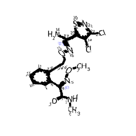 CNC(=O)/C(=N/OC)c1ccccc1CO/N=C(\N)c1snc(Cl)c1Cl